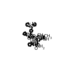 CNC(=N)NCCC[C@H](NC(=O)[C@H](CC(C)C)NC(=O)NNC(=O)[C@H](Cc1ccccc1)NC(=O)c1ccc(CN(Cc2ccccn2)Cc2ccccn2)cc1)C(=O)N[C@@H](Cc1c[nH]c2ccccc12)C(N)=O